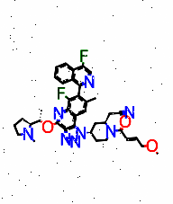 COC/C=C/C(=O)N1CC[C@H](n2nnc3c(O[C@@H](C)[C@@H]4CCCN4C)nc4c(F)c(-c5ncc(F)c6ccccc56)c(C)cc4c32)C[C@H]1CC#N